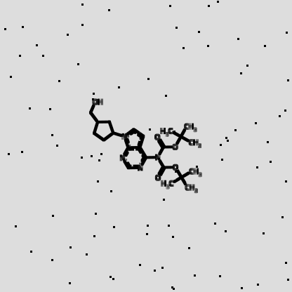 CC(C)(C)OC(=O)N(C(=O)OC(C)(C)C)c1ncnc2c1ccn2C1CCC(CO)C1